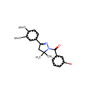 COc1ccc(C2=NN(C(=O)c3cccc(Br)c3)C(C)(C)C2)cc1OC